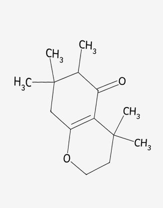 CC1C(=O)C2=C(CC1(C)C)OCCC2(C)C